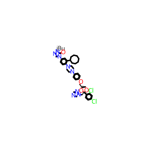 CCC(C)n1ncn(-c2ccc(N3CCN(c4ccc(OC[C@H]5CO[C@](Cn6cncn6)(c6ccc(Cl)cc6Cl)O5)cc4)CC3)c(C3CCCCCCC3)c2)c1=O